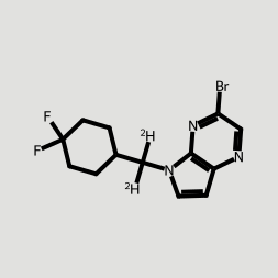 [2H]C([2H])(C1CCC(F)(F)CC1)n1ccc2ncc(Br)nc21